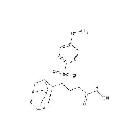 COc1ccc(S(=O)(=O)N(CCC(=O)NO)C2C3CC4CC(C3)CC2C4)cc1